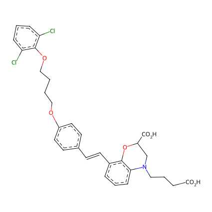 O=C(O)CCCN1CC(C(=O)O)Oc2c(/C=C/c3ccc(OCCCCOc4c(Cl)cccc4Cl)cc3)cccc21